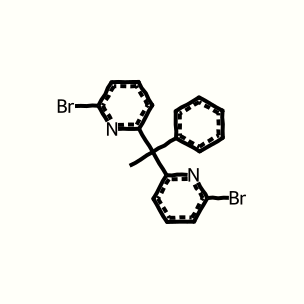 CC(c1ccccc1)(c1cccc(Br)n1)c1cccc(Br)n1